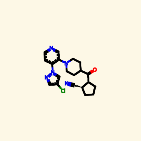 N#C[C@H]1CCCC1C(=O)C1CCN(c2cnccc2-n2cc(Cl)cn2)CC1